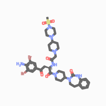 CS(=O)(=O)N1CCN(C2CCN(CC(=O)N[C@H](CC(=O)c3cc(Br)c(N)c(Br)c3)C(=O)N3CCC(N4CCc5ccccc5NC4=O)CC3)CC2)CC1